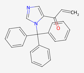 C=CC(=O)c1cncn1C(c1ccccc1)(c1ccccc1)c1ccccc1